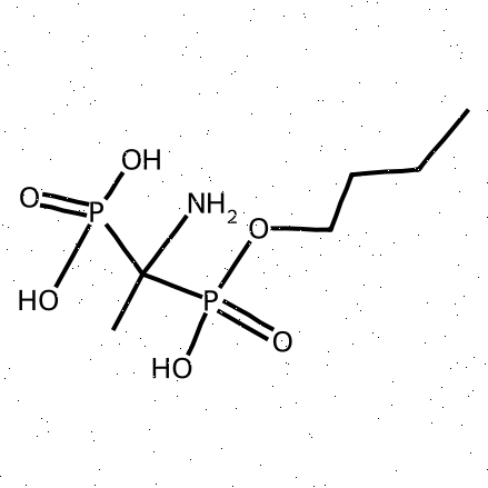 CCCCOP(=O)(O)C(C)(N)P(=O)(O)O